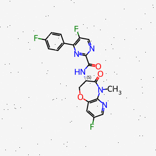 CN1C(=O)[C@@H](NC(=O)c2ncc(F)c(-c3ccc(F)cc3)n2)COc2cc(F)cnc21